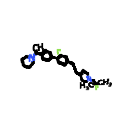 C=C(c1ccc(-c2ccc(CCC3CCN(CC(C)(C)F)CC3)cc2F)cc1)N1CCCCC1